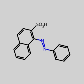 O=S(=O)(O)c1ccc2ccccc2c1N=Nc1ccccc1